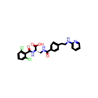 O=C(NC[C@H](NC(=O)c1c(Cl)cccc1Cl)C(=O)O)c1ccc(CCNc2ccccn2)cc1